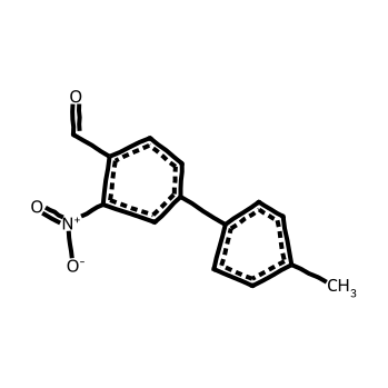 Cc1ccc(-c2ccc(C=O)c([N+](=O)[O-])c2)cc1